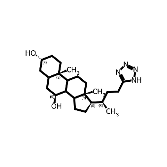 C[C@H](CCc1nnn[nH]1)[C@H]1CCC2C3C(CC[C@@]21C)[C@@]1(C)CC[C@@H](O)CC1C[C@@H]3O